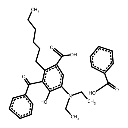 CCCCCCc1c(C(=O)O)cc(N(CC)CC)c(O)c1C(=O)c1ccccc1.O=C(O)c1ccccc1